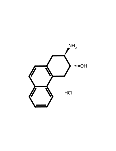 Cl.N[C@@H]1Cc2ccc3ccccc3c2C[C@H]1O